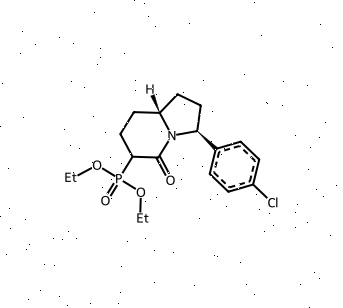 CCOP(=O)(OCC)C1CC[C@@H]2CC[C@@H](c3ccc(Cl)cc3)N2C1=O